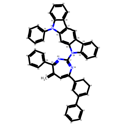 C=C1C=C(C2=CC(c3ccccc3)=CCC2)N=C(n2c3ccccc3c3cc4c5ccccc5n(-c5ccccc5)c4cc32)N=C1c1ccccc1